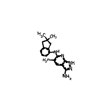 CC1(C)Cc2cccc(Nc3nc4[nH]nc(N)c4cc3P)c2C1